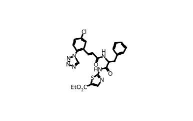 CCOC(=O)c1cnc(NC(=O)C(Cc2ccccc2)NC(=O)C=Cc2cc(Cl)ccc2-n2cnnn2)s1